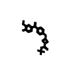 COc1nc(C(=O)c2ccc(SC3CN(C(=O)OC(C)(C)C)C3)cc2)ccc1C